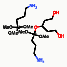 CO[Si](CCCN)(OC)OC.CO[Si](CCCN)(OC)OC(CCO)CCO